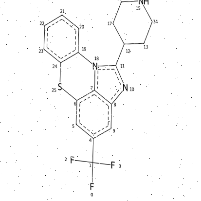 FC(F)(F)c1cc2c3c(c1)nc(C1CCNCC1)n3-c1ccccc1S2